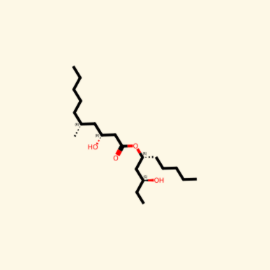 CCCCC[C@@H](C)C[C@@H](O)CC(=O)O[C@H](CCCCC)C[C@@H](O)CC